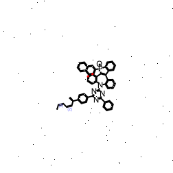 C=C(/C=C\C=C/C)c1ccc(-c2nc(-c3ccccc3)nc(N3c4ccccc4C4=C(c5ccccc53)P(=O)(c3ccc5ccccc5c3)c3ccccc34)n2)cc1